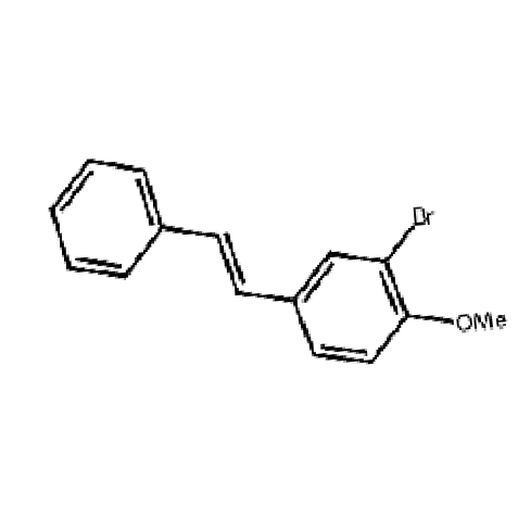 COc1ccc(/C=C/c2ccccc2)cc1Br